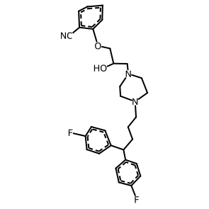 N#Cc1ccccc1OCC(O)CN1CCN(CCCC(c2ccc(F)cc2)c2ccc(F)cc2)CC1